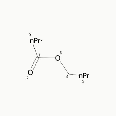 [CH2]C[CH]C(=O)OCCCC